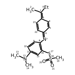 CCC(C)=C1C=CC(=Nc2ccc(N(C)C)cc2SS(C)(=O)=O)C=C1